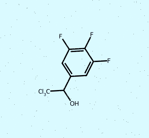 OC(c1cc(F)c(F)c(F)c1)C(Cl)(Cl)Cl